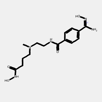 CN(CCCC(=O)NO)CCNC(=O)c1ccc(/C(N)=N\O)cc1